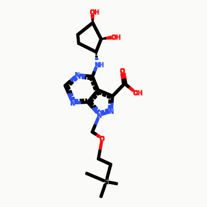 C[Si](C)(C)CCOCn1nc(C(=O)O)c2c(N[C@@H]3CC[C@@H](O)[C@H]3O)ncnc21